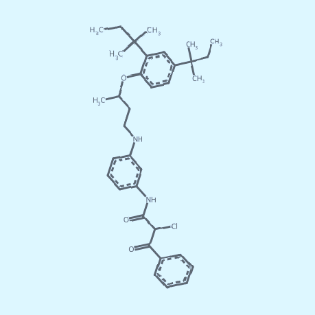 CCC(C)(C)c1ccc(OC(C)CCNc2cccc(NC(=O)C(Cl)C(=O)c3ccccc3)c2)c(C(C)(C)CC)c1